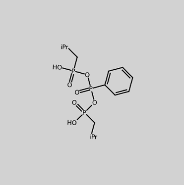 CC(C)CP(=O)(O)OP(=O)(OP(=O)(O)CC(C)C)c1ccccc1